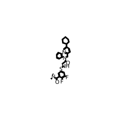 CN(C)C(=O)c1cc(SNCC(=O)N(Cc2ccc(C3CCCCC3)cn2)c2ccccc2)cc(F)c1F